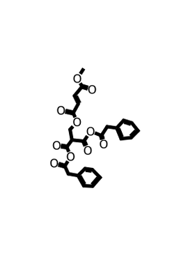 COC(=O)/C=C/C(=O)OCC(C(=O)OC(=O)Cc1ccccc1)C(=O)OC(=O)Cc1ccccc1